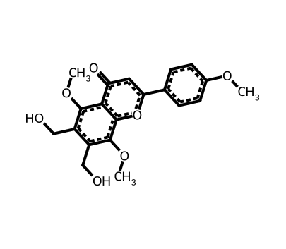 COc1ccc(-c2cc(=O)c3c(OC)c(CO)c(CO)c(OC)c3o2)cc1